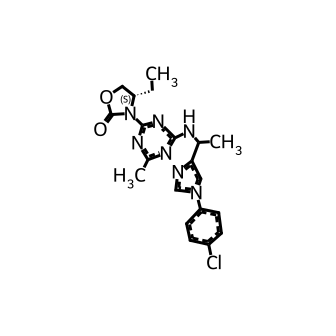 CC[C@H]1COC(=O)N1c1nc(C)nc(NC(C)c2cn(-c3ccc(Cl)cc3)cn2)n1